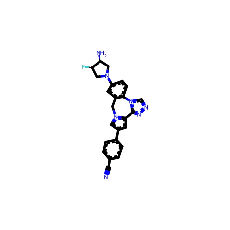 N#Cc1ccc(-c2cc3n(c2)Cc2cc(N4C[C@@H](F)[C@@H](N)C4)ccc2-n2cnnc2-3)cc1